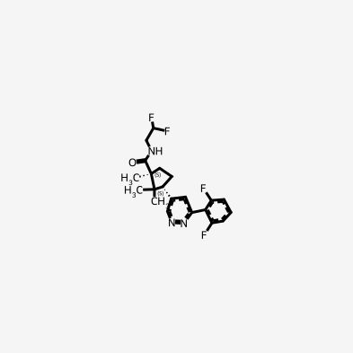 CC1(C)[C@@H](c2cnnc(-c3c(F)cccc3F)c2)CC[C@]1(C)C(=O)NCC(F)F